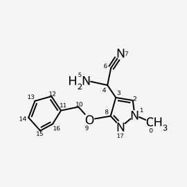 Cn1cc(C(N)C#N)c(OCc2ccccc2)n1